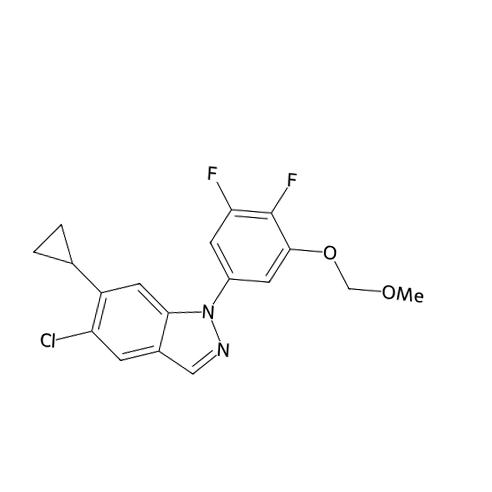 COCOc1cc(-n2ncc3cc(Cl)c(C4CC4)cc32)cc(F)c1F